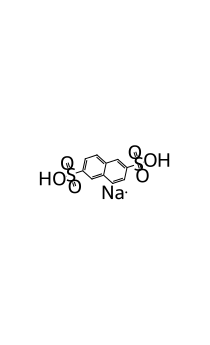 O=S(=O)(O)c1ccc2cc(S(=O)(=O)O)ccc2c1.[Na]